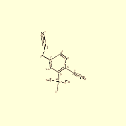 N#CCc1ccc(C#N)c(C(F)(F)F)c1